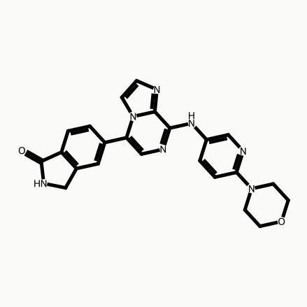 O=C1NCc2cc(-c3cnc(Nc4ccc(N5CCOCC5)nc4)c4nccn34)ccc21